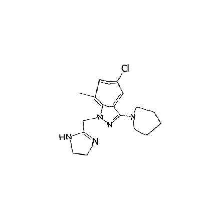 Cc1cc(Cl)cc2c(N3CCCCC3)nn(CC3=NCCN3)c12